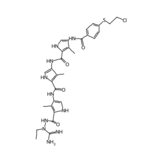 CCN(NC(=O)c1[nH]cc(NC(=O)c2[nH]cc(NC(=O)c3[nH]cc(NC(=O)c4ccc(SCCCl)cc4)c3C)c2C)c1C)C(=N)N